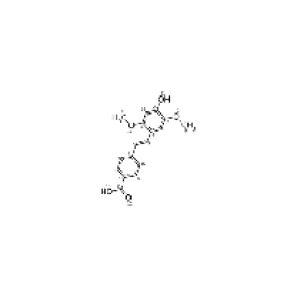 COc1cc(C=Cc2ccc(C(=O)O)cc2)c(OC)cc1O